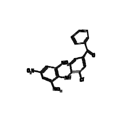 O=C(c1ccccc1)c1ccc(Nc2c([N+](=O)[O-])cc([N+](=O)[O-])cc2[N+](=O)[O-])c(Cl)c1